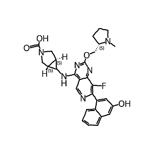 CN1CCC[C@H]1COc1nc(NC2[C@@H]3CN(C(=O)O)C[C@@H]23)c2cnc(-c3cc(O)cc4ccccc34)c(F)c2n1